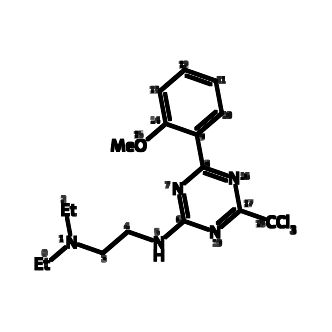 CCN(CC)CCNc1nc(-c2ccccc2OC)nc(C(Cl)(Cl)Cl)n1